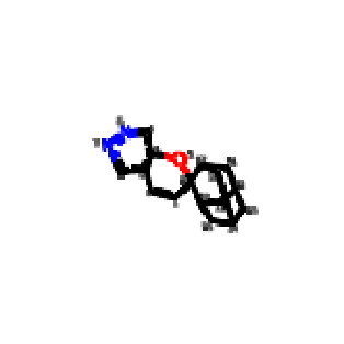 C1=CC2(Oc3cnncc31)C1CC3CC(C1)CC2C3